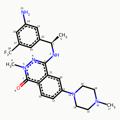 C[C@@H](Nc1nn(C)c(=O)c2ccc(N3CCN(C)CC3)cc12)c1cc(N)cc(C(F)(F)F)c1